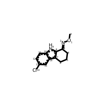 CO/N=C1\CCCc2c1[nH]c1ccc(Cl)cc21